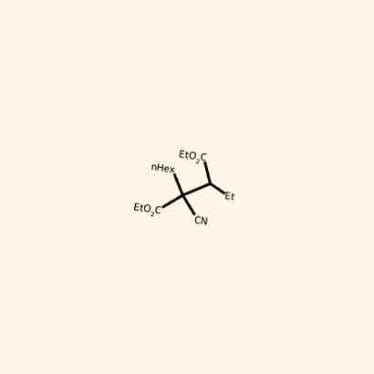 CCCCCCC(C#N)(C(=O)OCC)C(CC)C(=O)OCC